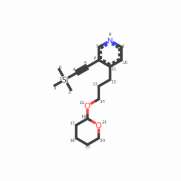 C[Si](C)(C)C#Cc1cnccc1CCCOC1CCCCO1